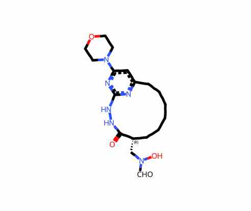 O=CN(O)C[C@H]1CCCCCCc2cc(N3CCOCC3)nc(n2)NNC1=O